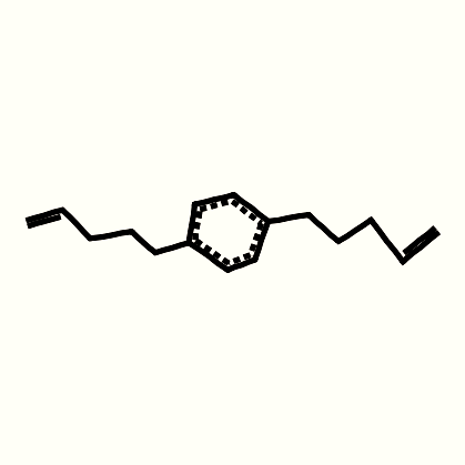 C=CCCCc1ccc(CCCC=C)cc1